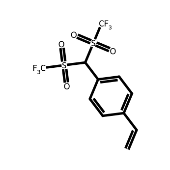 C=Cc1ccc(C(S(=O)(=O)C(F)(F)F)S(=O)(=O)C(F)(F)F)cc1